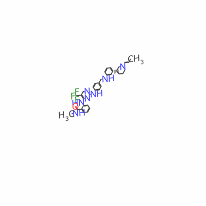 CC=CN1CCC[C@H](c2cccc(NCc3ccc(Nc4ncc(C(F)(F)F)c(Nc5ccccc5C(=O)NC)n4)cc3)c2)C1